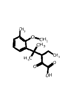 CCC(C(=O)C(=O)O)C(C)(C)c1cccc(C)c1OC